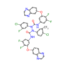 O=C(Nc1cc(F)c(F)c(Oc2ccc3nccnc3c2)c1)N(c1ccc(Cl)c(F)c1)N(C(=O)Nc1cc(F)c(F)c(Oc2ccc3nccnc3c2)c1)c1ccc(Cl)c(C(F)(F)F)c1